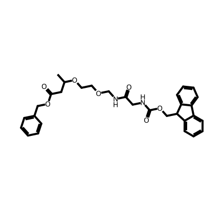 CC(CC(=O)OCc1ccccc1)OCCOCNC(=O)CNC(=O)OCC1c2ccccc2-c2ccccc21